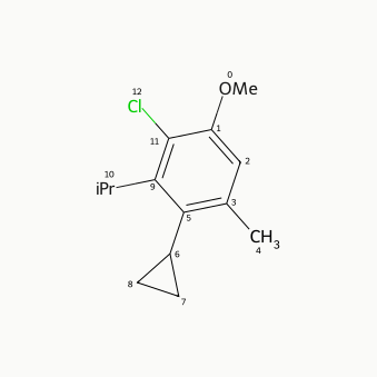 COc1cc(C)c(C2CC2)c(C(C)C)c1Cl